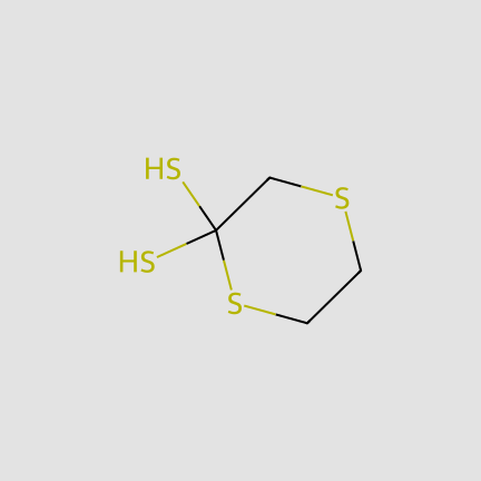 SC1(S)CSCCS1